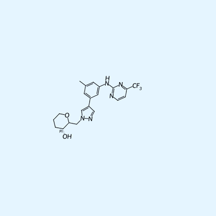 Cc1cc(Nc2nccc(C(F)(F)F)n2)cc(-c2cnn(CC3OCCC[C@H]3O)c2)c1